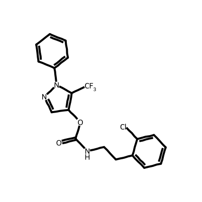 O=C(NCCc1ccccc1Cl)Oc1cnn(-c2ccccc2)c1C(F)(F)F